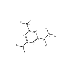 CC(c1cc(N(C)C)cc(N(C)C)c1)N(C)C